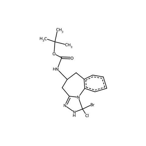 CC(C)(C)OC(=O)NC1CC2=NNC(Cl)(Br)N2c2ccccc2C1